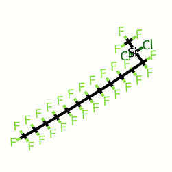 FC(F)(F)C(F)(F)C(F)(F)C(F)(F)C(F)(F)C(F)(F)C(F)(F)C(F)(F)C(F)(F)C(F)(F)C(F)(F)C(F)(F)[Si](Cl)(Cl)C(F)(F)F